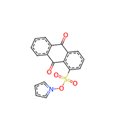 O=C1c2ccccc2C(=O)c2c1cccc2S(=O)(=O)On1cccc1